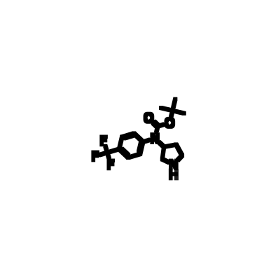 CC(C)(C)OC(=O)N(c1ccc(C(F)(F)F)cc1)C1CCNC1